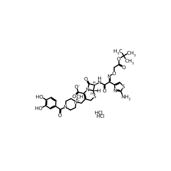 CC(C)(C)OC(=O)CON=C(C(=O)N[C@@H]1C(=O)N2C(C(=O)[O-])=C(C[N+]3(C)CCN(C(=O)c4ccc(O)c(O)c4)CC3)CS[C@@H]12)c1csc(N)n1.Cl.Cl